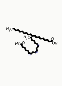 CCCCC/C=C\C/C=C\C/C=C\CCCCC(=O)O.CCCCCCCCCC=CC=CC=CC=CC=CC(=O)O